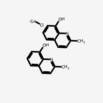 Cc1ccc2cccc(O)c2n1.Cc1ccc2cccc(O)c2n1.[Cl][Ga]